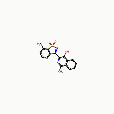 Cc1cccc2c1S(=O)(=O)N=C2c1nc(C)c2ccccc2c1O